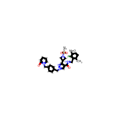 COc1ccc(C)c(CNC(=O)c2cn(Cc3ccc(Cn4ccccc4=O)cc3)nc2C2CN(S(C)(=O)=O)C2)c1F